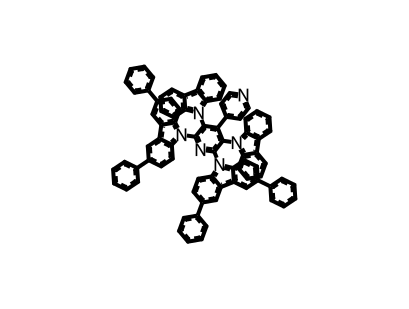 c1ccc(-c2ccc3c(c2)c2cc(-c4ccccc4)ccc2n3-c2nc(-n3c4ccc(-c5ccccc5)cc4c4cc(-c5ccccc5)ccc43)c(-n3c4ccccc4c4ccccc43)c(-c3ccncc3)c2-n2c3ccccc3c3ccccc32)cc1